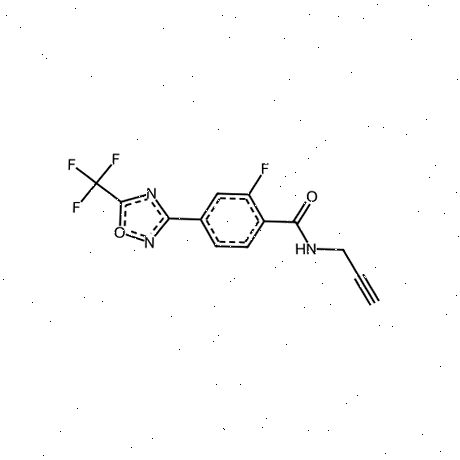 C#CCNC(=O)c1ccc(-c2noc(C(F)(F)F)n2)cc1F